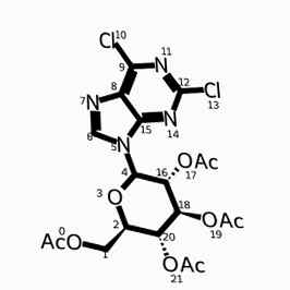 CC(=O)OC[C@H]1OC(n2cnc3c(Cl)nc(Cl)nc32)[C@H](OC(C)=O)[C@@H](OC(C)=O)[C@@H]1OC(C)=O